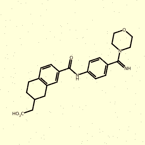 N=C(c1ccc(NC(=O)c2ccc3c(c2)CC(CC(=O)O)CC3)cc1)N1CCOCC1